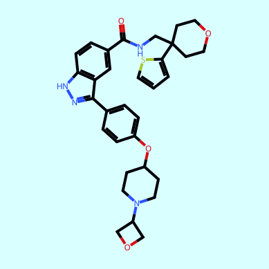 O=C(NCC1(c2cccs2)CCOCC1)c1ccc2[nH]nc(-c3ccc(OC4CCN(C5COC5)CC4)cc3)c2c1